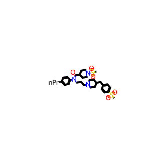 CCCc1ccc(N(CCCN2CCC(Cc3ccc(S(C)(=O)=O)cc3)CC2)C(=O)C2CCN(S(C)(=O)=O)CC2)cc1